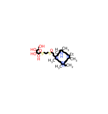 C=Cc1c(C)c2cc3nc(c(C)c4cc(C)c(cc5nc(cc1[nH]2)C(C)=C5CC)[nH]4)C(CCC(=O)SCCCS[C@@H]1O[C@H](CO)[C@@H](O)[C@H](O)[C@H]1O)=C3C